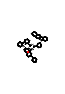 c1ccc(-c2cccc(-c3nc(-c4cccc(-n5c6ccccc6c6cc7ccccc7cc65)c4)nc(-c4cccc5c6ccccc6n(-c6ccccc6)c45)n3)c2)cc1